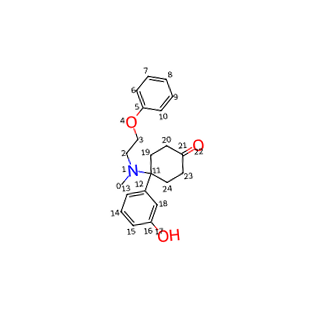 CN(CCOc1ccccc1)C1(c2cccc(O)c2)CCC(=O)CC1